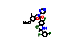 COc1ccc(CN(c2ccncn2)S(=O)(=O)c2cc(Cl)c(NC3(c4cc(F)ccc4F)CC3)cc2F)c(C)c1